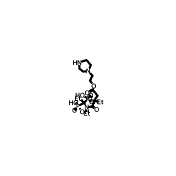 CCN(C(=O)C(CC)(CC)CC(=O)OCCN1CCNCC1)C(CC)(P(=O)(O)O)P(=O)(O)O